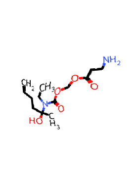 C=CCCC(C)(O)N(CC)C(=O)OCOC(=O)CCN